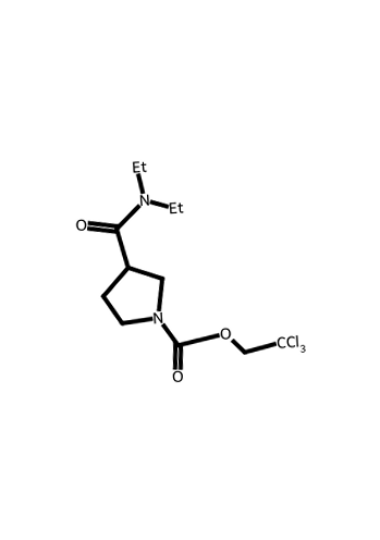 CCN(CC)C(=O)C1CCN(C(=O)OCC(Cl)(Cl)Cl)C1